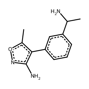 Cc1onc(N)c1-c1cccc(C(C)N)c1